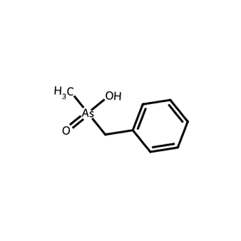 C[As](=O)(O)Cc1ccccc1